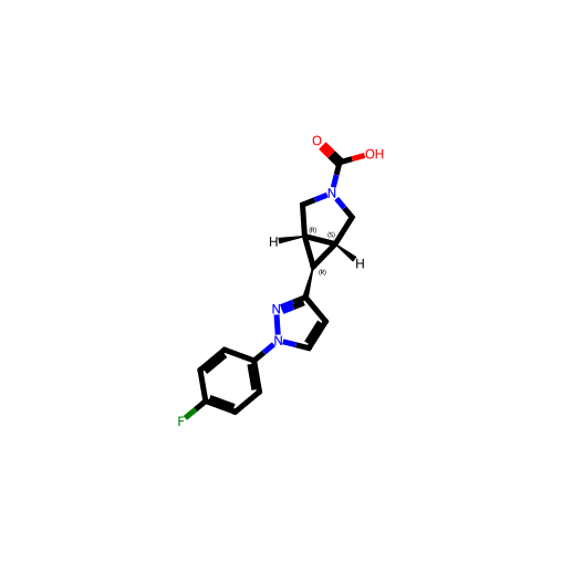 O=C(O)N1C[C@@H]2[C@H](C1)[C@H]2c1ccn(-c2ccc(F)cc2)n1